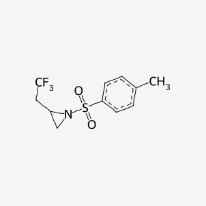 Cc1ccc(S(=O)(=O)N2CC2CC(F)(F)F)cc1